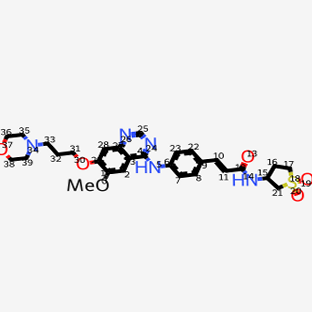 COc1cc2c(Nc3ccc(C=CC(=O)NC4CCS(=O)(=O)C4)cc3)ncnc2cc1OCCCN1CCOCC1